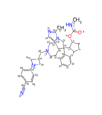 CNC(=O)OC1CCCC1C(Cn1ccnc1C)(c1ccccc1)C1CCN(CC2CN(c3ccc(C#N)cc3)C2)CC1